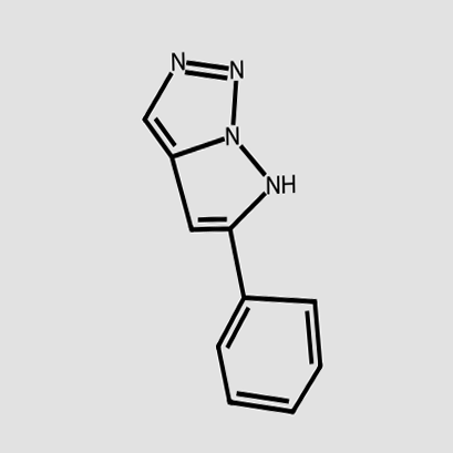 c1ccc(-c2cc3cnnn3[nH]2)cc1